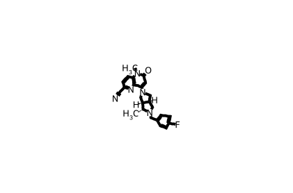 C[C@@H]1[C@H]2CN(c3cc(=O)n(C)c4ccc(C#N)nc34)C[C@H]2CN1Cc1ccc(F)cc1